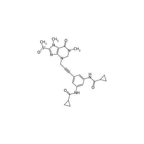 CN1CN(CC#Cc2cc(NC(=O)C3CC3)cc(NC(=O)C3CC3)c2)c2nc([S+](C)[O-])n(C)c2C1=O